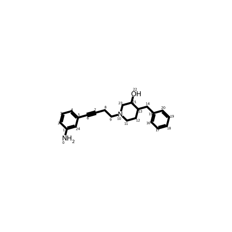 Nc1cccc(C#CCCN2CCC(Cc3ccccc3)C(O)C2)c1